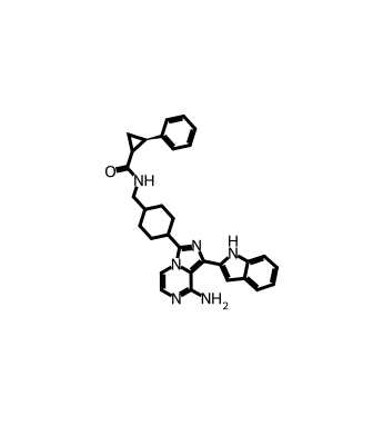 Nc1nccn2c(C3CCC(CNC(=O)C4C[C@H]4c4ccccc4)CC3)nc(-c3cc4ccccc4[nH]3)c12